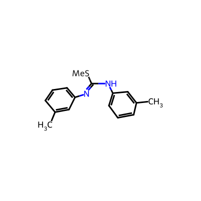 CS/C(=N\c1cccc(C)c1)Nc1cccc(C)c1